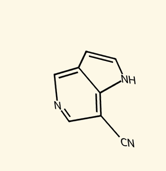 N#Cc1cncc2cc[nH]c12